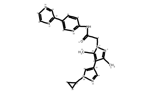 Cc1nn(CC(=O)Nc2ccc(-c3cnccn3)cn2)c(C)c1-c1cnn(C2CC2)c1